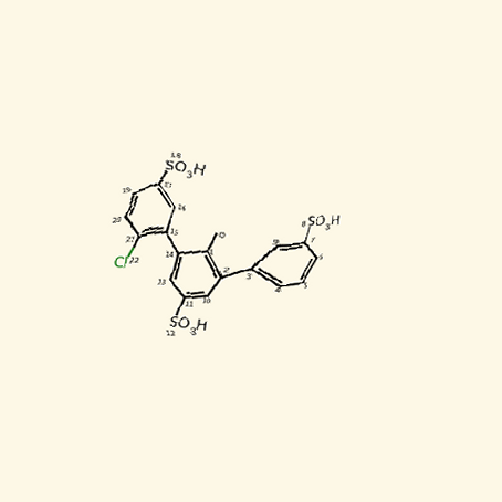 Cc1c(-c2cccc(S(=O)(=O)O)c2)cc(S(=O)(=O)O)cc1-c1cc(S(=O)(=O)O)ccc1Cl